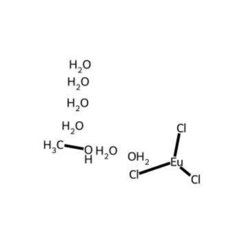 CO.O.O.O.O.O.O.[Cl][Eu]([Cl])[Cl]